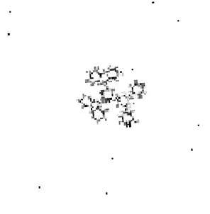 c1ccc2c(c1)c1ccccc1n2-c1nc(-c2cc(-c3ccncc3)cc(-c3ccncc3)c2)nc(-n2c3ccccc3c3ccccc32)n1